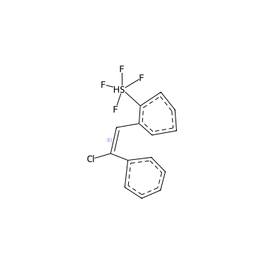 F[SH](F)(F)(F)c1ccccc1/C=C(/Cl)c1ccccc1